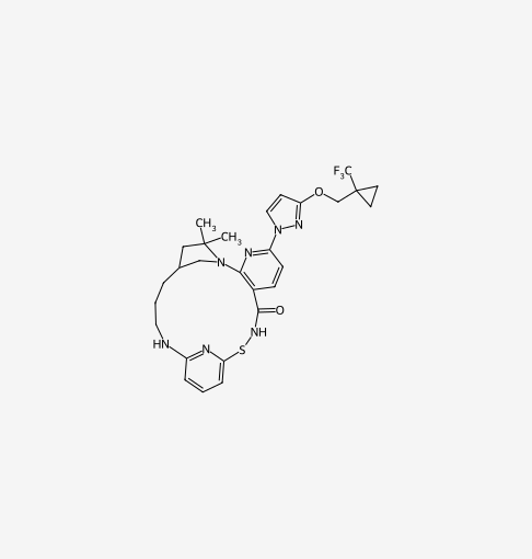 CC1(C)CC2CCCNc3cccc(n3)SNC(=O)c3ccc(-n4ccc(OCC5(C(F)(F)F)CC5)n4)nc3N1C2